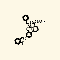 COC(=O)[C@H]1CCC[C@@H](c2ccc(OCc3ccccc3F)cc2)N1C(=O)OCc1ccccc1